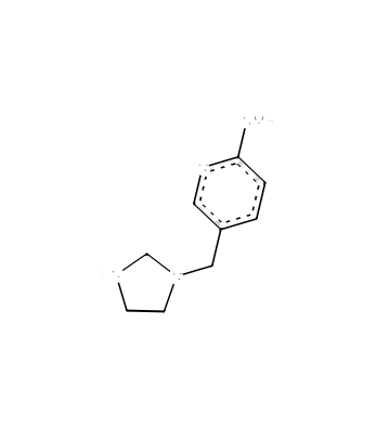 CNc1ccc(CN2CCNC2)cn1